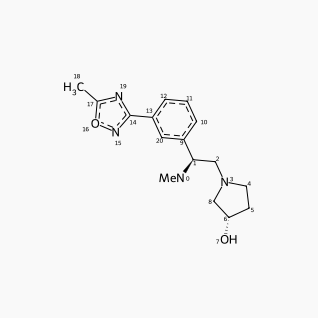 CN[C@H](CN1CC[C@H](O)C1)c1cccc(-c2noc(C)n2)c1